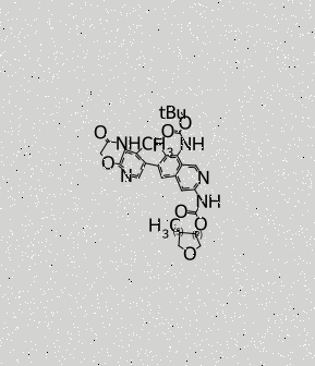 Cc1c(-c2cc3cc(NC(=O)O[C@H]4COC[C@@H]4C)ncc3c(NC(=O)OC(C)(C)C)c2F)cnc2c1NC(=O)CO2